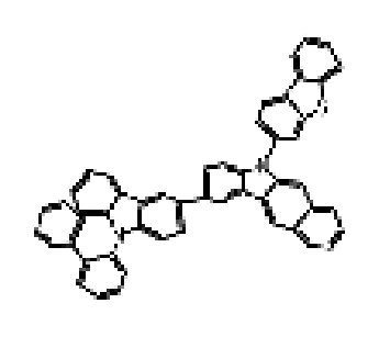 c1ccc(-c2ccccc2-n2c3ccccc3c3cc(-c4ccc5c(c4)c4cc6ccccc6cc4n5-c4ccc5c(c4)sc4ccccc45)ccc32)cc1